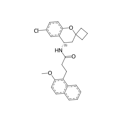 COc1ccc2ccccc2c1CCC(=O)N[C@H]1CC2(CCC2)Oc2ccc(Cl)cc21